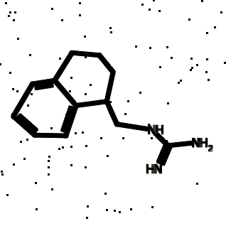 N=C(N)NCC1CCCc2ccccc21